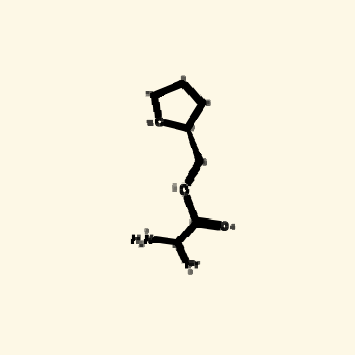 CC(C)C(N)C(=O)OC[C@@H]1CCCO1